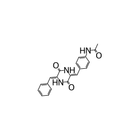 CC(=O)Nc1ccc(C=c2[nH]c(=O)c(=Cc3ccccc3)[nH]c2=O)cc1